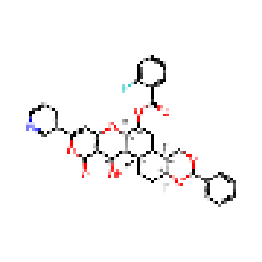 C[C@]12CC[C@@H]3OC(c4ccccc4)OC[C@@]3(C)C1C[C@H](OC(=O)c1ccccc1F)[C@@]1(C)Oc3cc(-c4cccnc4)oc(=O)c3[C@H](O)C21